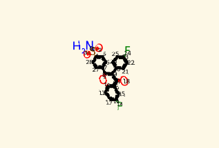 NS(=O)(=O)c1ccc(-c2oc3ccc(F)cc3c(=O)c2-c2ccc(F)cc2)cc1